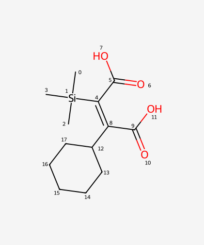 C[Si](C)(C)C(C(=O)O)=C(C(=O)O)C1CCCCC1